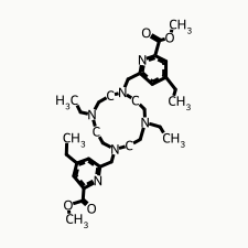 CCc1cc(CN2CCN(CC)CCN(Cc3cc(CC)cc(C(=O)OC)n3)CCN(CC)CC2)nc(C(=O)OC)c1